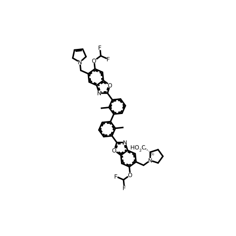 Cc1c(-c2nc3cc(CN4CC=CC4)c(OC(F)F)cc3o2)cccc1-c1cccc(-c2nc3cc(CN4CCC[C@H]4C(=O)O)c(OC(F)F)cc3o2)c1C